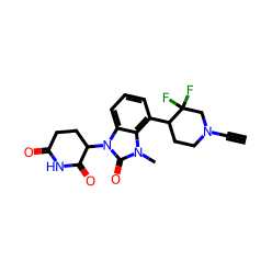 C#CN1CCC(c2cccc3c2n(C)c(=O)n3C2CCC(=O)NC2=O)C(F)(F)C1